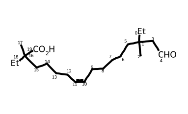 CCC(C)(CC=O)CCCCC/C=C\CCCCC(C)(CC)C(=O)O